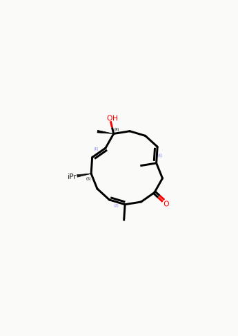 C/C1=C/C[C@@H](C(C)C)/C=C/[C@](C)(O)CC/C=C(\C)CC(=O)C1